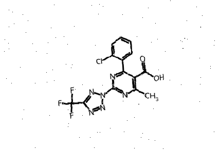 Cc1nc(-n2nnc(C(F)(F)F)n2)nc(-c2ccccc2Cl)c1C(=O)O